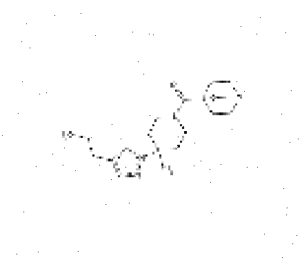 CCCc1cnn(C2(C)CCN(C(=O)C34CCN(CC3)CC4)CC2)c1